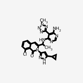 CC(Nc1ncnc(N)c1-c1nnn(C)n1)c1cc2cccc(Cl)c2c(=O)n1-c1cc(C2CC2)[nH]n1